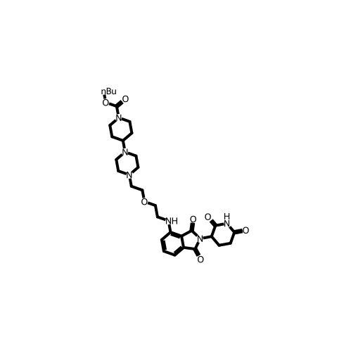 CCCCOC(=O)N1CCC(N2CCN(CCOCCNc3cccc4c3C(=O)N(C3CCC(=O)NC3=O)C4=O)CC2)CC1